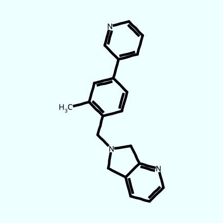 Cc1cc(-c2cccnc2)ccc1CN1Cc2cccnc2C1